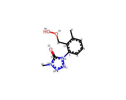 Cc1cccc(-n2nnn(C)c2=O)c1COO